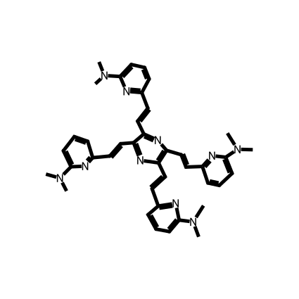 CN(C)c1cccc(C=Cc2nc(C=Cc3cccc(N(C)C)n3)c(C=Cc3cccc(N(C)C)n3)nc2C=Cc2cccc(N(C)C)n2)n1